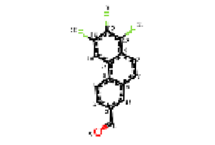 O=Cc1ccc2c(ccc3c(F)c(F)c(F)cc32)c1